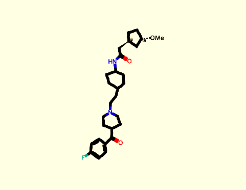 CO[C@H]1CC[C@H](CC(=O)NC2CCC(CCN3CCC(C(=O)c4ccc(F)cc4)CC3)CC2)C1